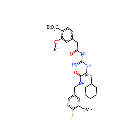 CCOC(=O)c1ccc(CC(=O)NC(=N)N[C@H](CC2CCCCC2)C(=O)NCc2ccc(F)c(OC)c2)cc1OCC